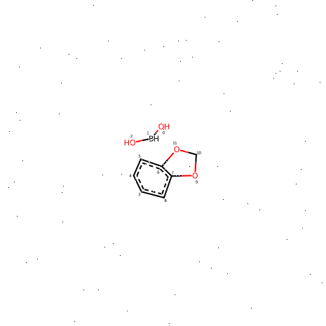 OBO.c1ccc2c(c1)OCO2